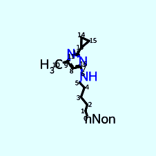 CCCCCCCCCCCCCCNc1cc(C)nc(C2CC2)n1